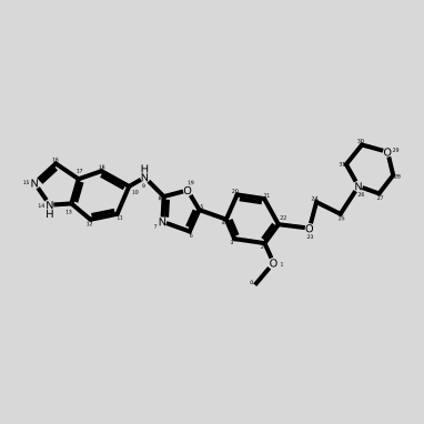 COc1cc(-c2cnc(Nc3ccc4[nH]ncc4c3)o2)ccc1OCCN1CCOCC1